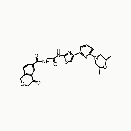 CC1CN(c2cccc(-c3csc(NC(=O)CNC(=O)c4ccc5c(c4)C(=O)COC5)n3)n2)CC(C)O1